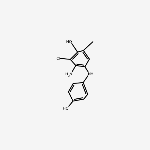 Cc1cc(Nc2ccc(O)cc2)c(N)c(Cl)c1O